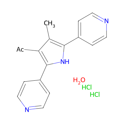 CC(=O)c1c(-c2ccncc2)[nH]c(-c2ccncc2)c1C.Cl.Cl.O